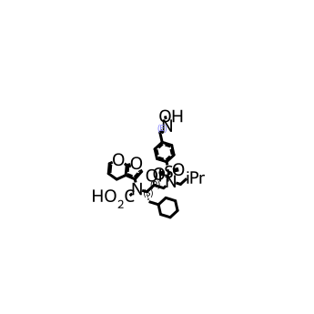 CC(C)CN(C[C@@H](O)[C@H](CC1CCCCC1)N(C(=O)O)c1coc2c1CC=CO2)S(=O)(=O)c1ccc(/C=N/O)cc1